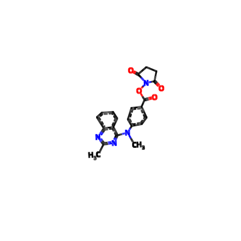 Cc1nc(N(C)c2ccc(C(=O)ON3C(=O)CCC3=O)cc2)c2ccccc2n1